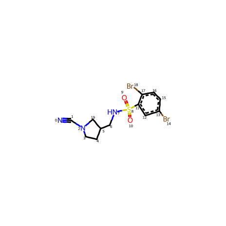 N#CN1CCC(CNS(=O)(=O)c2cc(Br)ccc2Br)C1